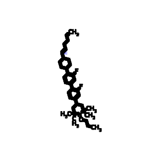 C=CCC/C=C/C1CCC(c2ccc(-c3ccc(C4CC(C)(C)N(OCCC)C(C)(C)C4)cc3F)cc2F)CC1